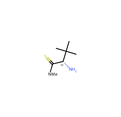 CNC(=S)[C@@H](N)C(C)(C)C